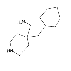 NCC1(CC2CCCCC2)CCNCC1